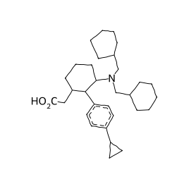 O=C(O)CC1CCCC(N(CC2CCCCC2)CC2CCCCC2)C1c1ccc(C2CC2)cc1